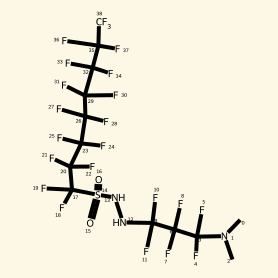 CN(C)C(F)(F)C(F)(F)C(F)(F)NNS(=O)(=O)C(F)(F)C(F)(F)C(F)(F)C(F)(F)C(F)(F)C(F)(F)C(F)(F)C(F)(F)F